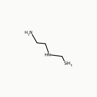 NCCNC[SiH3]